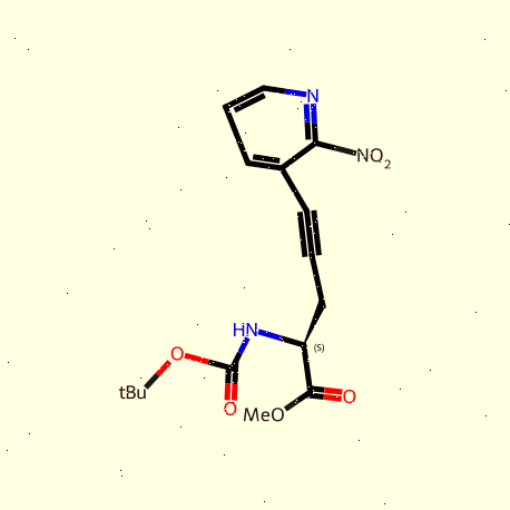 COC(=O)[C@H](CC#Cc1cccnc1[N+](=O)[O-])NC(=O)OC(C)(C)C